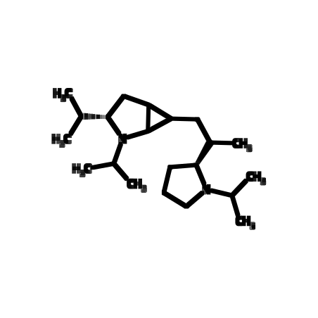 CC(CC1C2C[C@@H](C(C)C)N(C(C)C)C12)[C@@H]1CCCN1C(C)C